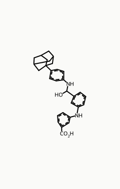 O=C(O)c1cccc(Nc2cccc(C(O)Nc3ccc(C45CC6CC(CC(C6)C4)C5)cc3)c2)c1